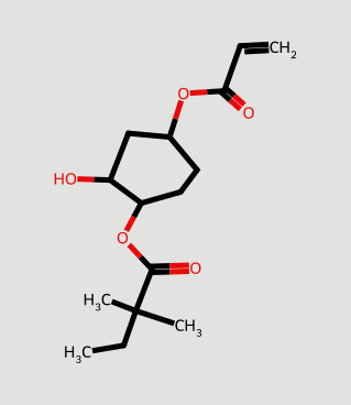 C=CC(=O)OC1CCC(OC(=O)C(C)(C)CC)C(O)C1